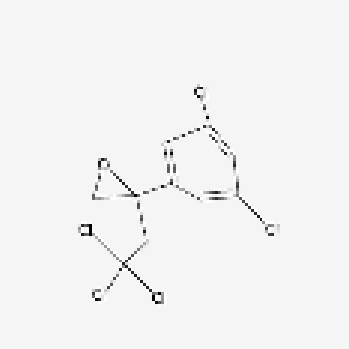 Clc1cc(Cl)cc(C2(CC(Cl)(Cl)Cl)CO2)c1